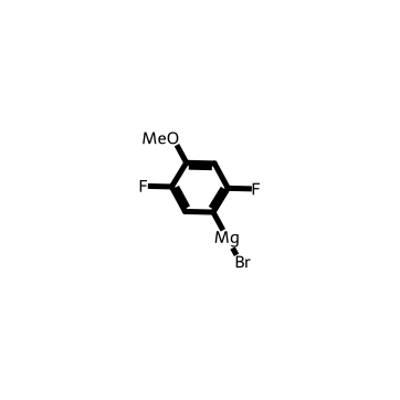 COc1cc(F)[c]([Mg][Br])cc1F